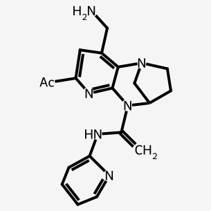 C=C(Nc1ccccn1)N1c2nc(C(C)=O)cc(CN)c2N2CCC1C2